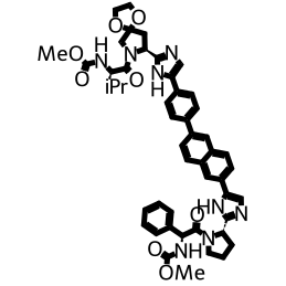 COC(=O)N[C@H](C(=O)N1CC2(C[C@H]1c1ncc(-c3ccc(-c4ccc5cc(-c6cnc([C@@H]7CCCN7C(=O)[C@H](NC(=O)OC)c7ccccc7)[nH]6)ccc5c4)cc3)[nH]1)OCCO2)C(C)C